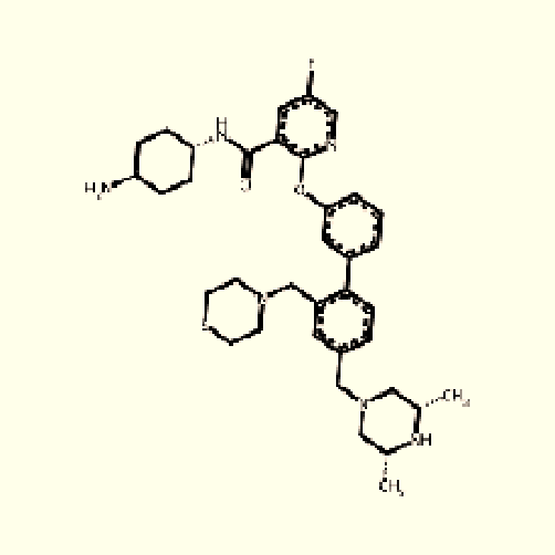 C[C@@H]1CN(Cc2ccc(-c3cccc(Oc4ncc(F)cc4C(=O)N[C@H]4CC[C@H](N)CC4)c3)c(CN3CCSCC3)c2)C[C@H](C)N1